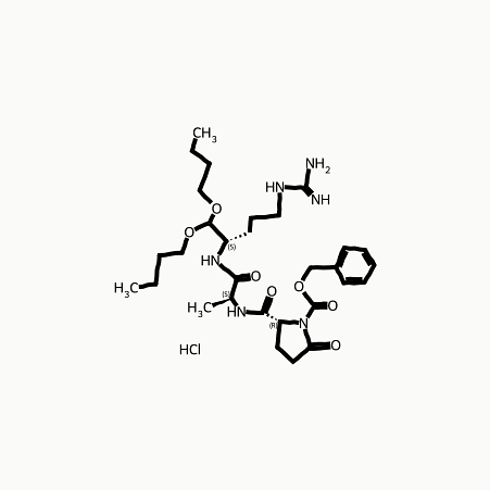 CCCCOC(OCCCC)[C@H](CCCNC(=N)N)NC(=O)[C@H](C)NC(=O)[C@H]1CCC(=O)N1C(=O)OCc1ccccc1.Cl